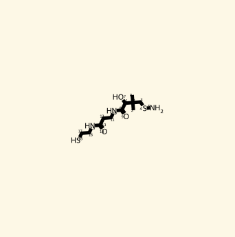 CC(C)(CSN)C(O)C(=O)NCCC(=O)NCCS